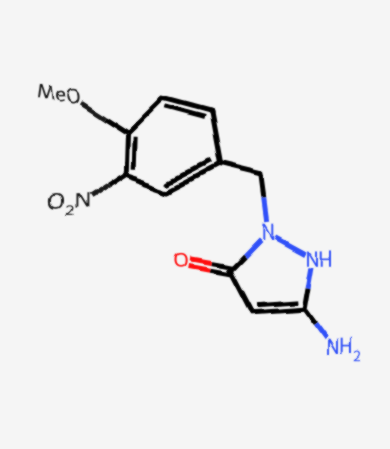 COc1ccc(Cn2[nH]c(N)cc2=O)cc1[N+](=O)[O-]